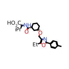 CCc1oc(-c2ccc(C)cc2)nc1CO[C@@H]1CCC[C@H](C(=O)N[C@H](C(=O)O)C(C)C)C1